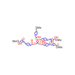 COC(=O)C1CC(=O)N(CCN2CCN(CC(O)COCC(COCC(O)CN3CCN(CCSC)CC3)(COCC(O)CN3CCN(CCN4CC(C(O)OC)CC4=O)CC3)COCC(O)CN3CCN(CCN4CC(C(O)OC)CC4=O)CC3)CC2)C1